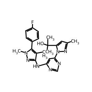 Cc1cc(C(C)(C)O)n(-c2cc(Nc3nn(C)c(-c4ccc(F)cc4)c3C)ncn2)n1